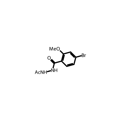 COc1cc(Br)ccc1C(=O)NNC(C)=O